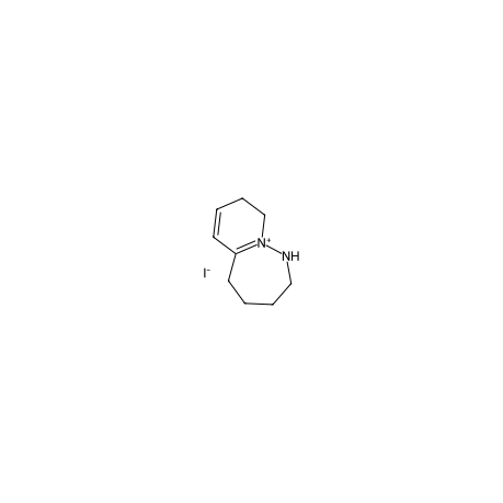 C1=CC2=[N+](CC1)NCCCC2.[I-]